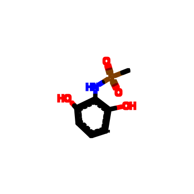 CS(=O)(=O)Nc1c(O)[c]ccc1O